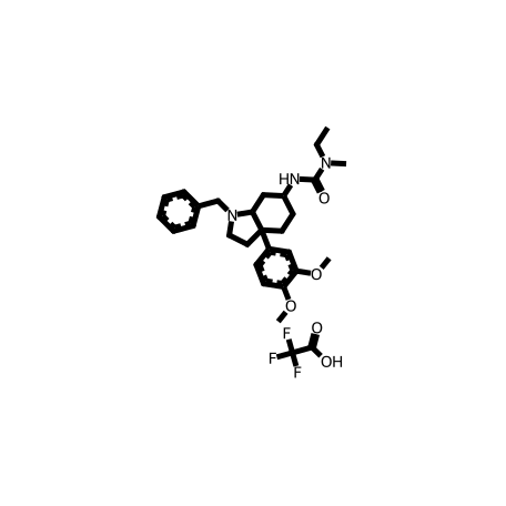 CCN(C)C(=O)NC1CCC2(c3ccc(OC)c(OC)c3)CCN(Cc3ccccc3)C2C1.O=C(O)C(F)(F)F